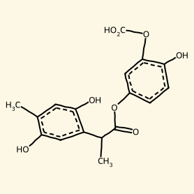 Cc1cc(O)c(C(C)C(=O)Oc2ccc(O)c(OC(=O)O)c2)cc1O